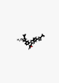 Cn1nc(-c2cccc(N(CC34CCC(c5nc(C6CC6)no5)(CC3)CC4)C(=O)C34CC(F)(C3)C4)c2)cc1C1CC1